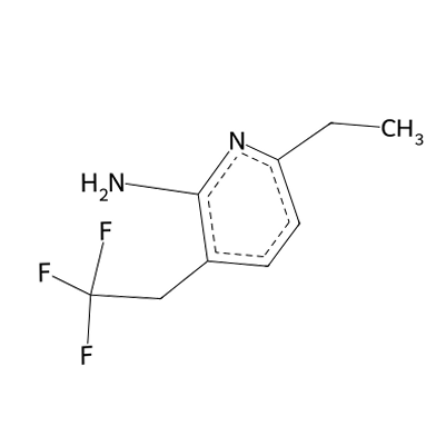 CCc1ccc(CC(F)(F)F)c(N)n1